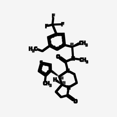 CCc1cc([C@@H](C)N(C)C(=O)N2CCN3C(=O)CC[C@H]3[C@@H]2c2cscc2C)cc(C(F)(F)F)c1